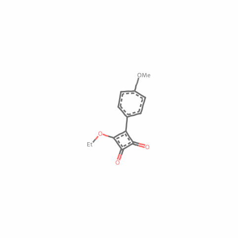 CCOc1c(-c2ccc(OC)cc2)c(=O)c1=O